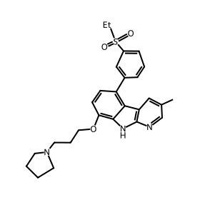 CCS(=O)(=O)c1cccc(-c2ccc(OCCCN3CCCC3)c3[nH]c4ncc(C)cc4c23)c1